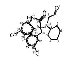 O=CCN(C1CCCCC1)C1(Cc2cccc(Cl)c2)C(=O)Nc2cc(Cl)ccc21